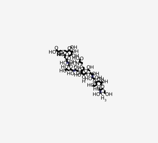 C/C(O)=C(/O)[C@@H](CCO)O[C@H]1OC(CO)[C@@H](O[C@@H](O)/C(O)=C(\O)[C@@H](CCO)O[C@@H]2OC(CSC[C@@H](N)C(=O)O)[C@@H](O[C@H](O)/C(O)=C(\O)[C@@H](CCO)O[C@H](O)/C(O)=C(\O)[C@@H](CCO)O[C@H]3OC(CSC[C@@H](N)C(=O)O)[C@@H](OO)C(O)C3O)C(O)C2O)C(O)C1O